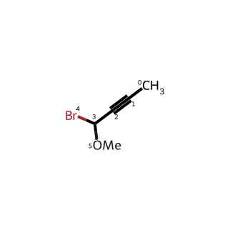 CC#CC(Br)OC